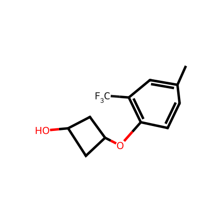 Cc1ccc(OC2CC(O)C2)c(C(F)(F)F)c1